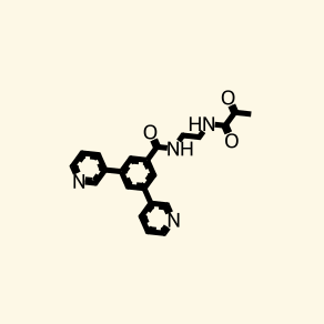 CC(=O)C(=O)NCCNC(=O)c1cc(-c2cccnc2)cc(-c2cccnc2)c1